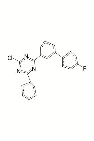 Fc1ccc(-c2cccc(-c3nc(Cl)nc(-c4ccccc4)n3)c2)cc1